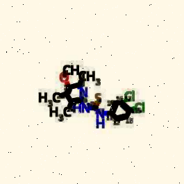 COc1c(C)nc(NC(=S)Nc2ccc(Cl)c(Cl)c2)c(C)c1C